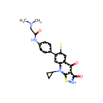 CN(C)CC(=O)Nc1ccc(-c2cc3c(cc2F)c(=O)c2c(=O)[nH]sc2n3C2CC2)cc1